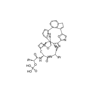 CC(C)C1NC(=O)[C@@H](NC(=O)[C@@H](OP(=O)(O)O)C(C)C)Cc2ccc3c(c2)C24c5cccc(c5N[C@H]2O3)-c2cccc3c2C(=CC3)c2cnc(o2)-c2nc1oc24